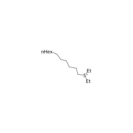 CCCCCCCCCCCC[S+](CC)CC